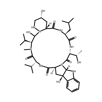 CC(C)C[C@@H]1NC(=O)[C@H]2C[C@@H](O)CNN2C(O)[C@H](C(C)C)N(C)C(=O)[C@@H](C(C)C)NC(=O)[C@@H]2C[C@@]3(O)c4ccccc4N[C@H]3N2C(=O)[C@@H]([C@H](C)O)NC1=O